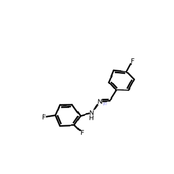 Fc1ccc(/C=N/Nc2ccc(F)cc2F)cc1